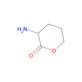 NC1CCCOC1=O